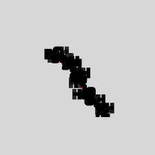 CCC(=S)C(C)CNc1ccc(NC(=S)NCCCCCN(O)C(=O)CCC(=O)NCCCCCN(O)C(=O)CCC(=O)NCCCCCN(O)C(C)=O)cc1